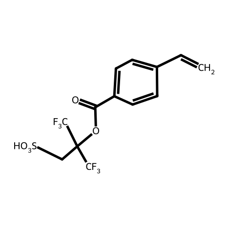 C=Cc1ccc(C(=O)OC(CS(=O)(=O)O)(C(F)(F)F)C(F)(F)F)cc1